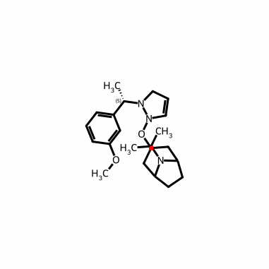 COc1cccc([C@H](C)N2CC=CN2OC2CC3CCC(C2)N3C(C)C)c1